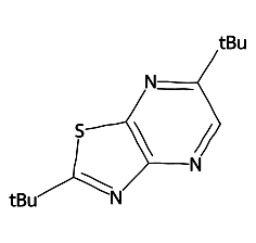 CC(C)(C)c1cnc2nc(C(C)(C)C)sc2n1